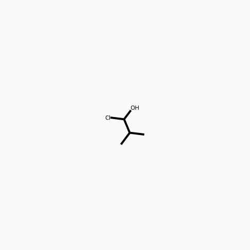 C[C](C)C(O)Cl